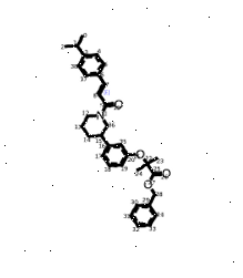 CC(C)c1ccc(/C=C/C(=O)N2CCCC(c3cccc(OC(C)(C)C(=O)OCc4ccccc4)c3)C2)cc1